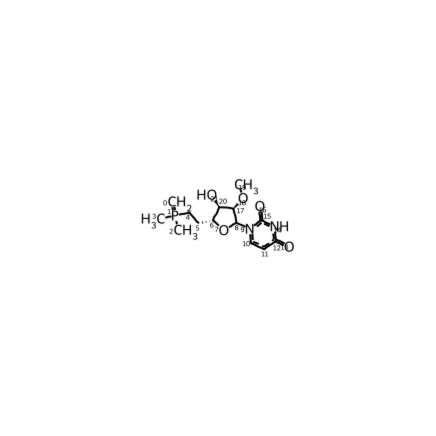 C=P(C)(C)CC[C@H]1OC(n2ccc(=O)[nH]c2=O)[C@H](OC)[C@@H]1O